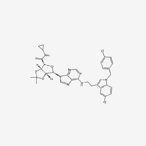 CC1(C)O[C@@H]2[C@H](O1)[C@@H](C(=O)NC1CC1)O[C@H]2n1cnc2c(NCCc3cn(Cc4ccc(Cl)cc4)c4ccc(Cl)cc34)ncnc21